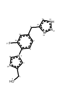 OCc1cn(-c2ccc([CH]c3c[nH]nn3)cc2F)cn1